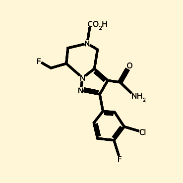 NC(=O)c1c(-c2ccc(F)c(Cl)c2)nn2c1CN(C(=O)O)CC2CF